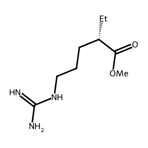 CC[C@@H](CCCNC(=N)N)C(=O)OC